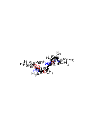 CCCCCC(C)(CCCCC)NCC(C)(C)CC(C)(C)CC(=O)NCCCC(C)(C)OCCC(C)(C)NC(=O)COC(C)(CCCCC)CCCCC